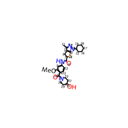 COc1cc(NC(=O)C2Cc3c(C)nn(C4CCCCC4)c3S2)ccc1C(=O)N1CCC(O)CC1